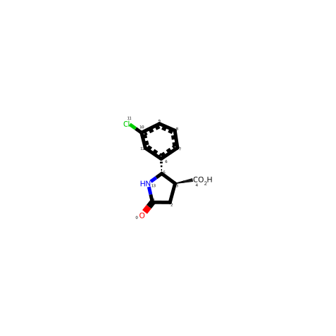 O=C1C[C@H](C(=O)O)[C@@H](c2cccc(Cl)c2)N1